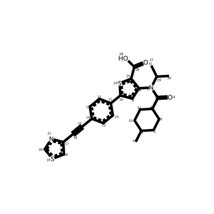 CC1CCC(C(=O)N(c2cc(-c3ccc(C#Cc4cscn4)cc3)sc2C(=O)O)C(C)C)CC1